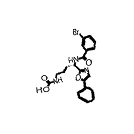 O=C(O)NCCC[C@H](NC(=O)c1cccc(Br)c1)c1ncc(-c2ccccc2)o1